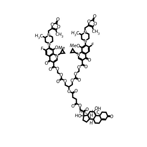 COc1c(N2CCN(Cc3oc(=O)oc3C)C(C)C2)c(F)cc2c(=O)c(C(=O)OCOC(=O)OCC(COC(=O)OCOC(=O)c3cn(C4CC4)c4c(OC)c(N5CCN(Cc6oc(=O)oc6C)C(C)C5)c(F)cc4c3=O)OC(=O)CCC(=O)OCC(=O)[C@@]3(O)CC[C@H]4[C@@H]5CCC6=CC(=O)CC[C@]6(C)C5[C@@H](O)C[C@@]43C)cn(C3CC3)c12